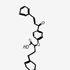 O=C(C=Cc1ccccc1)c1ccc(OC(CCC2=CCCCC2)C(=O)O)cc1